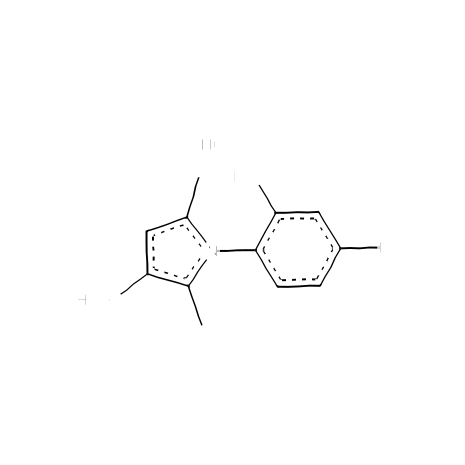 Cc1cc(C(=O)O)c(C)n1-c1ccc(F)cc1C(F)(F)F.Cl